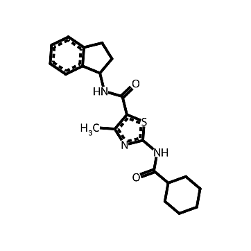 Cc1nc(NC(=O)C2CCCCC2)sc1C(=O)NC1CCc2ccccc21